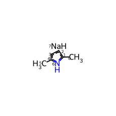 Cc1ccc(C)[nH]1.[NaH]